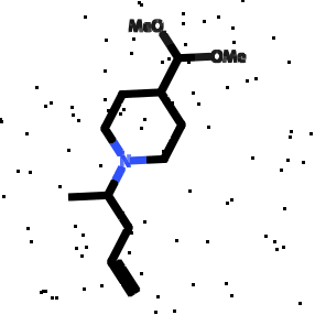 C=CCC(C)N1CCC(C(OC)OC)CC1